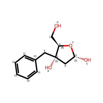 OC[C@H]1O[C@H](O)C[C@@]1(O)Cc1ccccc1